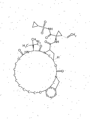 C=C[C@H]1C[C@@]1(NC(=O)C1C[C@@H]2CN1C(=O)[C@H](C(C)(C)C)NC(=O)OCCCCCCCCOc1cccc3c1CN(C3)C(=O)O2)C(=O)NS(=O)(=O)C1CC1